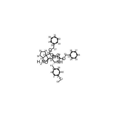 CSc1ccc(C[C@@H](NC(=O)OCc2ccccc2)[C@H](O)C(=O)C2(C(=O)OCc3ccccc3)CCCC2N)cc1